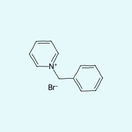 [Br-].c1ccc(C[n+]2ccccc2)cc1